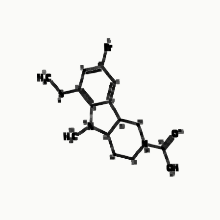 CSc1cc(Br)cc2c1N(C)C1CCN(C(=O)O)CC21